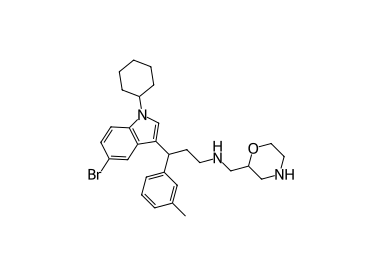 Cc1cccc(C(CCNCC2CNCCO2)c2cn(C3CCCCC3)c3ccc(Br)cc23)c1